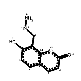 NNCc1c(O)ccc2ccc(=O)oc12